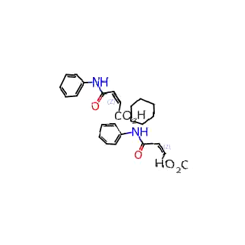 C1CCCCC1.O=C(O)/C=C\C(=O)Nc1ccccc1.O=C(O)/C=C\C(=O)Nc1ccccc1